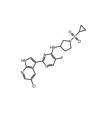 O=S(=O)(C1CC1)N1CCC(Nc2nc(-c3c[nH]c4ncc(Cl)cc34)ncc2F)C1